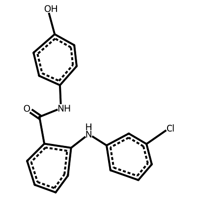 O=C(Nc1ccc(O)cc1)c1ccccc1Nc1cccc(Cl)c1